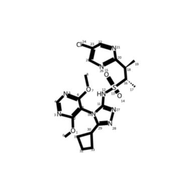 COc1ncnc(OC)c1-n1c(NS(=O)(=O)[C@@H](C)[C@H](C)c2ncc(Cl)cn2)nnc1C1CCC1